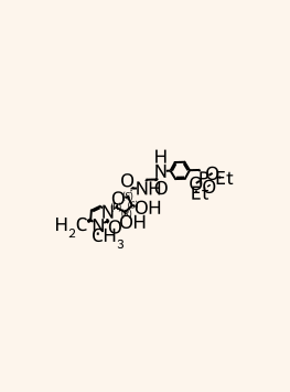 C=C1C=CN([C@@H]2O[C@H](C(=O)NCC(=O)Nc3ccc(CP(=O)(OCC)OCC)cc3)[C@@H](O)[C@H]2O)C(=O)N1C